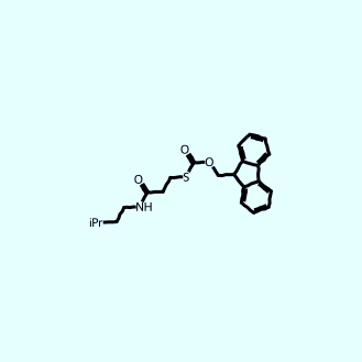 CC(C)CCNC(=O)CCSC(=O)OCC1c2ccccc2-c2ccccc21